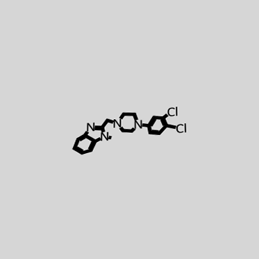 Cn1c(CN2CCN(c3ccc(Cl)c(Cl)c3)CC2)nc2ccccc21